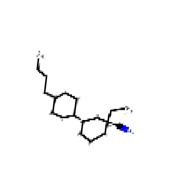 CCCCC1CCC([C@@H]2CCC[C@@](C#N)(CC)C2)CC1